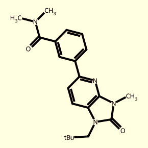 CN(C)C(=O)c1cccc(-c2ccc3c(n2)n(C)c(=O)n3CC(C)(C)C)c1